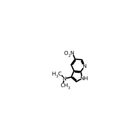 CN(C)c1c[nH]c2ncc([N+](=O)[O-])cc12